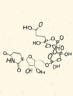 O=C(O)CCP(=O)(O)OP(=O)(O)OP(=O)(O)OP(=O)(O)OC[C@H]1O[C@@H](n2ccc(=O)[nH]c2=O)[C@@H](O)C1O